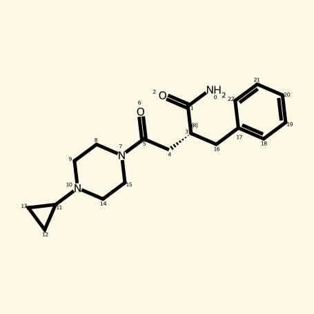 NC(=O)[C@@H](CC(=O)N1CCN(C2CC2)CC1)Cc1ccccc1